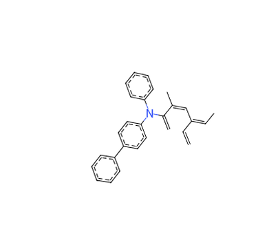 C=CC(=C/C)/C=C(/C)C(=C)N(c1ccccc1)c1ccc(-c2ccccc2)cc1